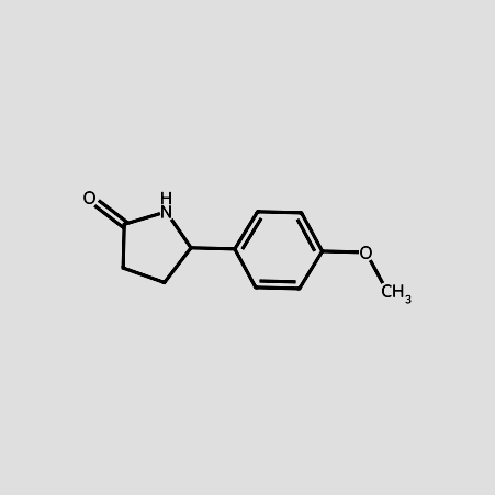 COc1ccc(C2CCC(=O)N2)cc1